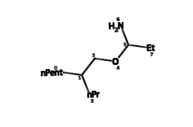 CCCCCC(CCC)COC(N)CC